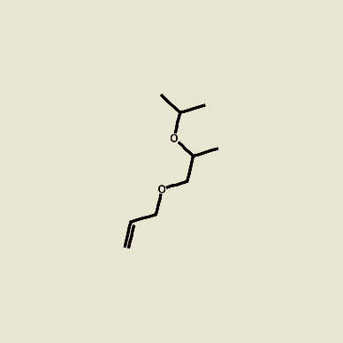 C=CCOCC(C)OC(C)C